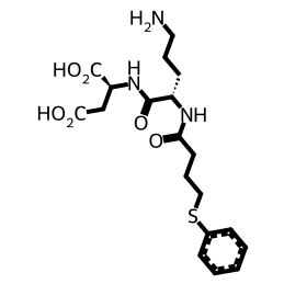 NCCC[C@H](NC(=O)CCCSc1ccccc1)C(=O)N[C@@H](CC(=O)O)C(=O)O